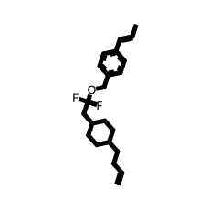 C=CCCC1CCC(CC(F)(F)OCc2ccc(C=CC)cc2)CC1